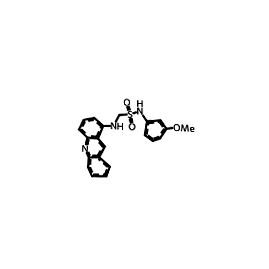 COc1cccc(NS(=O)(=O)CNc2cccc3nc4ccccc4cc23)c1